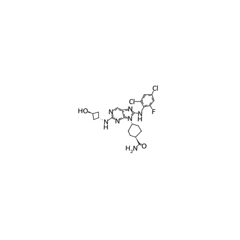 NC(=O)[C@H]1CC[C@H](n2c(Nc3c(F)cc(Cl)cc3Cl)nc3cnc(N[C@H]4C[C@H](O)C4)nc32)CC1